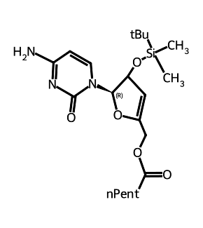 CCCCCC(=O)OCC1=CC(O[Si](C)(C)C(C)(C)C)[C@H](n2ccc(N)nc2=O)O1